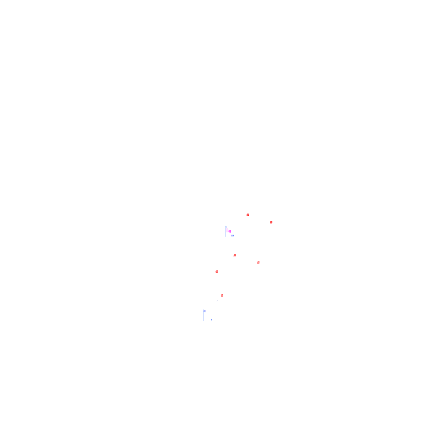 c1ccc(-c2ccccc2-c2c(-c3ccccc3)cccc2N(c2cccc(-c3cccc4c3sc3ccccc34)c2)c2ccc3c4ccccc4n(-c4ccccc4)c3c2)cc1